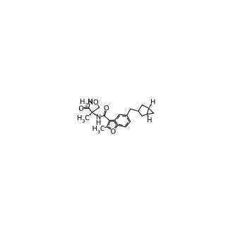 Cc1oc2ccc(CC3C[C@@H]4C[C@@H]4C3)cc2c1C(=O)N[C@@](C)(CO)C(N)=O